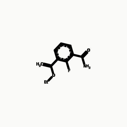 C=C(OCC)c1cccc(C(N)=O)c1F